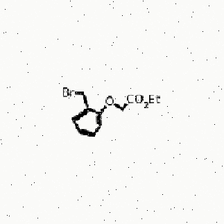 CCOC(=O)COc1ccccc1CBr